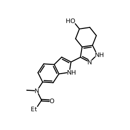 CCC(=O)N(C)c1ccc2cc(-c3n[nH]c4c3CC(O)CC4)[nH]c2c1